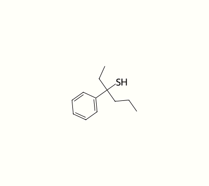 CCCC(S)(CC)c1ccccc1